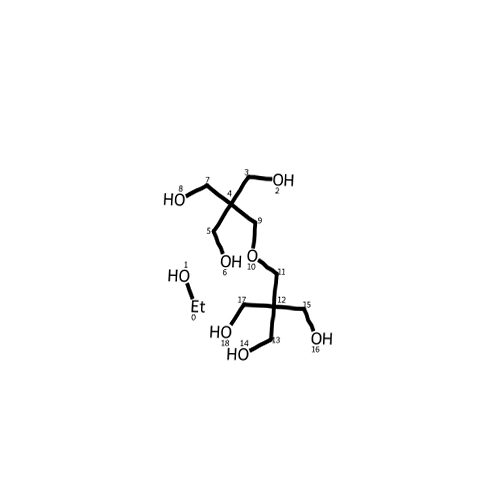 CCO.OCC(CO)(CO)COCC(CO)(CO)CO